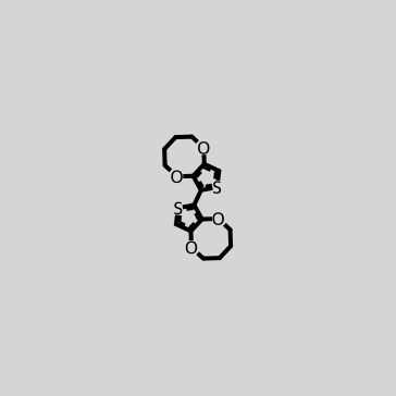 c1sc(-c2scc3c2OCCCCO3)c2c1OCCCCO2